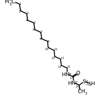 CCCCCCCCCCCCCCCCNC(=O)NC(C)SS